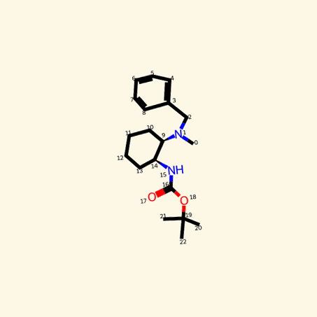 CN(Cc1ccccc1)[C@@H]1CCCC[C@@H]1NC(=O)OC(C)(C)C